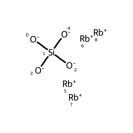 [O-][Si]([O-])([O-])[O-].[Rb+].[Rb+].[Rb+].[Rb+]